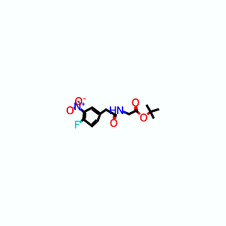 CC(C)(C)OC(=O)CNC(=O)Cc1ccc(F)c([N+](=O)[O-])c1